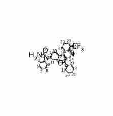 NC(=O)N(c1ccccc1)c1ccc(-c2c(C(=O)c3ccccc3)cnc3c(C(F)(F)F)cccc23)cc1